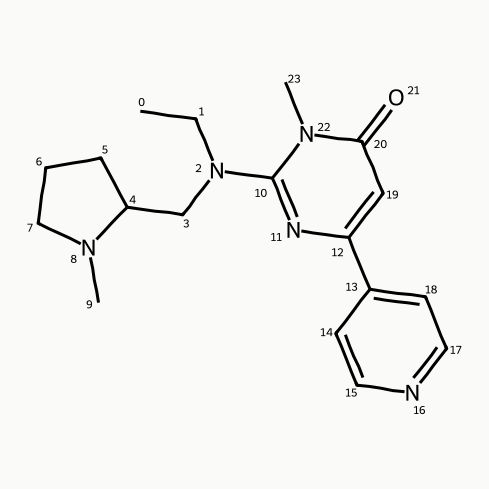 CCN(CC1CCCN1C)c1nc(-c2ccncc2)cc(=O)n1C